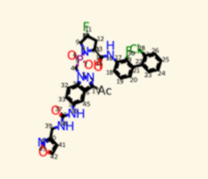 CC(=O)c1nn(CP(=O)(O)N2C[C@H](F)C[C@H]2C(=O)Nc2cccc(-c3ccccc3Cl)c2F)c2ccc(NC(=O)NCc3ccon3)cc12